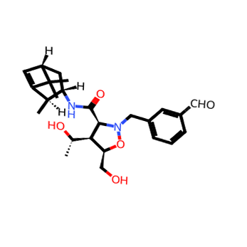 C[C@H](O)[C@@H]1[C@H](CO)ON(Cc2cccc(C=O)c2)[C@@H]1C(=O)N[C@H]1C[C@H]2C=C([C@@H]1C)C2(C)C